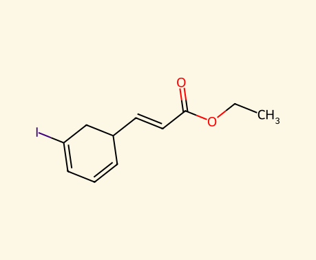 CCOC(=O)C=CC1C=CC=C(I)C1